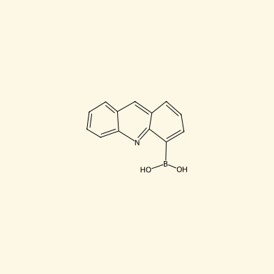 OB(O)c1cccc2cc3ccccc3nc12